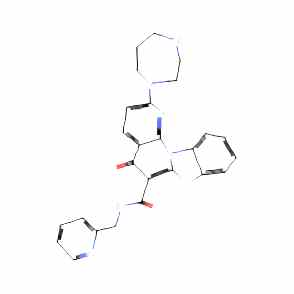 O=C(NCc1ccccn1)c1c(=O)c2ccc(N3CCCNCC3)nc2n2c1sc1ccccc12